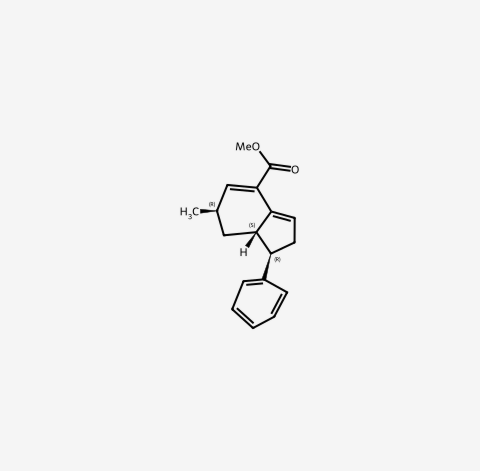 COC(=O)C1=C[C@H](C)C[C@@H]2C1=CC[C@H]2c1ccccc1